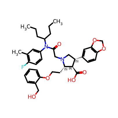 CCCC(CCC)N(C(=O)CN1C[C@H](c2ccc3c(c2)OCO3)[C@@H](C(=O)O)[C@@H]1CCOc1ccccc1CO)c1ccc(F)c(C)c1